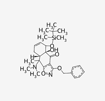 CN(C)C1(C)c2onc(OCc3ccccc3)c2C(=O)[C@@]2(O)C(O[Si](C)(C)C(C)(C)C)C=CC[C@@H]12